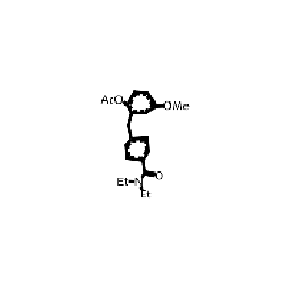 CCN(CC)C(=O)c1ccc(Cc2cc(OC)ccc2OC(C)=O)cc1